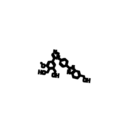 COc1cc(-c2cncn2-c2ccc(-c3nc4ccc(CO)cc4s3)cc2)cc(CO)c1CO